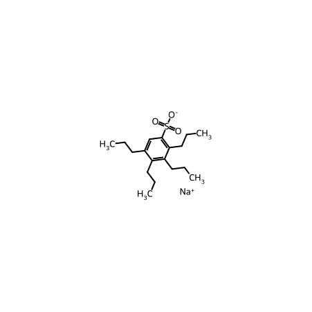 CCCc1cc(S(=O)(=O)[O-])c(CCC)c(CCC)c1CCC.[Na+]